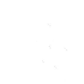 Cc1ccccc1N1CCC(C#N)(NC(=O)C(CC2CCCCC2)NC(=O)N2CCOCC2)CC1